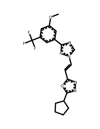 COc1cc(-c2ncn(C=Cc3nnc(C4CCCC4)o3)n2)cc(C(F)(F)F)c1